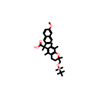 COc1ccc2cc(C(C)(C(=O)O)c3c(C)c(C)c4c(c3C)CCC(C)(CO[Si](C)(C)C(C)(C)C)O4)ccc2c1